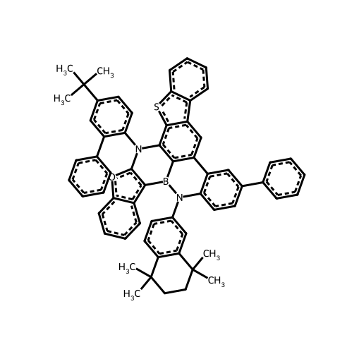 CC(C)(C)c1ccc(N2c3oc4ccccc4c3B3c4c(cc5c(sc6ccccc65)c42)-c2cc(-c4ccccc4)ccc2N3c2ccc3c(c2)C(C)(C)CCC3(C)C)c(-c2ccccc2)c1